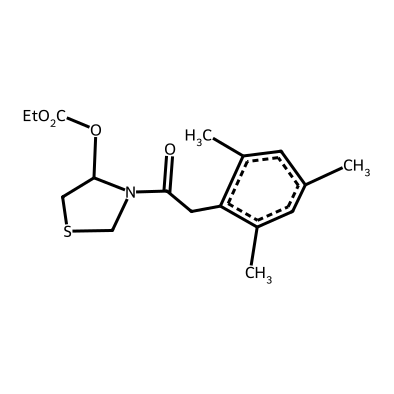 CCOC(=O)OC1CSCN1C(=O)Cc1c(C)cc(C)cc1C